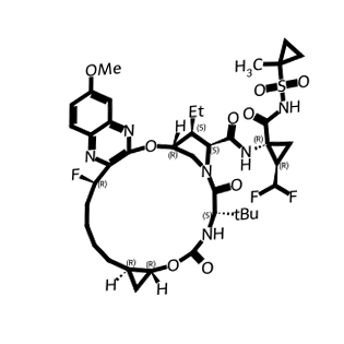 CC[C@@H]1[C@@H]2CN(C(=O)[C@H](C(C)(C)C)NC(=O)O[C@@H]3C[C@H]3CCCC[C@@H](F)c3nc4ccc(OC)cc4nc3O2)[C@@H]1C(=O)N[C@]1(C(=O)NS(=O)(=O)C2(C)CC2)C[C@H]1C(F)F